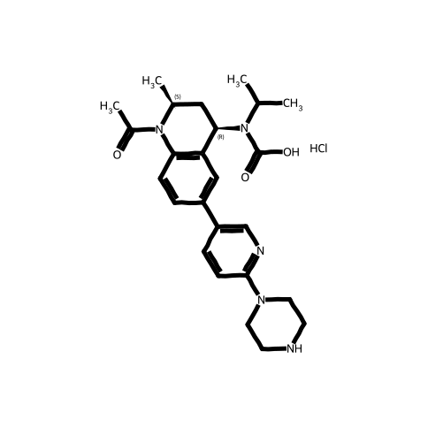 CC(=O)N1c2ccc(-c3ccc(N4CCNCC4)nc3)cc2[C@H](N(C(=O)O)C(C)C)C[C@@H]1C.Cl